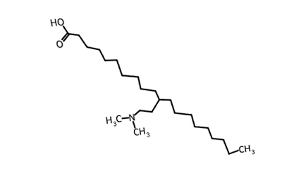 CCCCCCCCCC(CCCCCCCCCC(=O)O)CCN(C)C